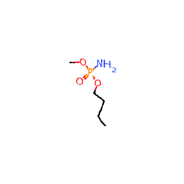 CCCCOP(N)(=O)OC